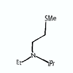 CCN(CCSC)C(C)C